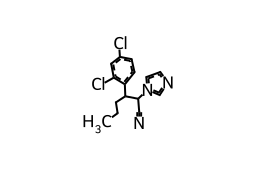 CCCC(c1ccc(Cl)cc1Cl)C(C#N)n1ccnc1